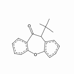 CC(C)(C)C1C(=O)c2ccccc2Oc2ccccc21